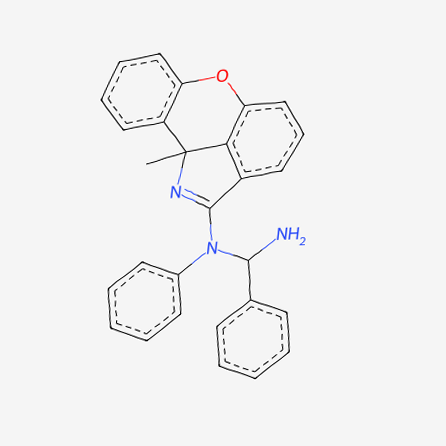 CC12N=C(N(c3ccccc3)C(N)c3ccccc3)c3cccc(c31)Oc1ccccc12